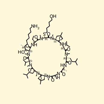 CC[C@@H]1NC(=O)[C@H]([C@H](O)[C@H](C)CCCCCCN)N(C)C(=O)[C@H](C(C)C)N(C)C(=O)[C@H](CCC(C)C)N(C)C(=O)[C@H](CC(C)C)N(C)C(=O)[C@H](C)NC(=O)[C@@H](C)NC(=O)[C@@H](CCC(C)C)N(C)C(=O)[C@@H](C(C)C)NC(=O)[C@H](CC(C)C)N(C)C(=O)[C@@H](SCCCCCO)N(C)C1=O